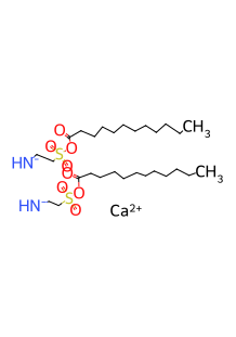 CCCCCCCCCCCC(=O)OS(=O)(=O)CC[NH-].CCCCCCCCCCCC(=O)OS(=O)(=O)CC[NH-].[Ca+2]